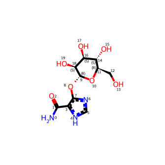 NC(=O)c1[nH]cnc1O[C@H]1O[C@H](CO)[C@@H](O)[C@H](O)[C@@H]1O